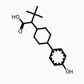 CC(C)(C)C(C(=O)O)C1CCC(c2ccc(O)cc2)CC1